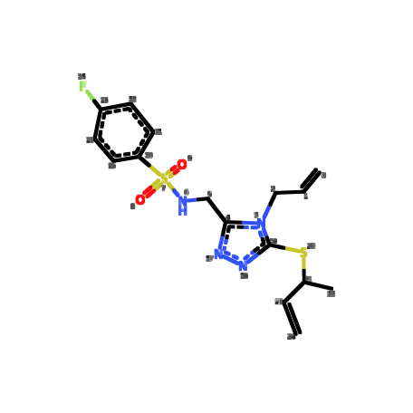 C=CCn1c(CNS(=O)(=O)c2ccc(F)cc2)nnc1SC(C)C=C